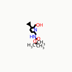 CC(C)(C)OC(=O)NCc1ccc(C2CC2)c(CO)n1